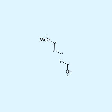 COCC[CH]CCO